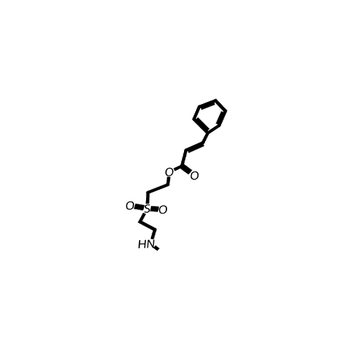 CNCCS(=O)(=O)CCOC(=O)C=Cc1ccccc1